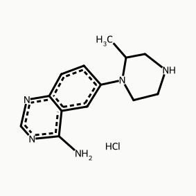 CC1CNCCN1c1ccc2ncnc(N)c2c1.Cl